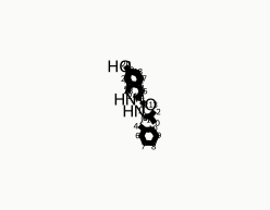 CC(C)[C@H](CC1CCCCC1)NC(=O)[C@@H]1Cc2ccc(O)cc2CN1